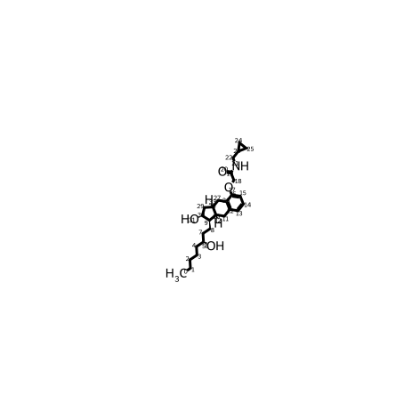 CCCCC[C@H](O)CC[C@@H]1[C@H]2Cc3cccc(OCC(=O)NCC4CC4)c3C[C@H]2C[C@H]1O